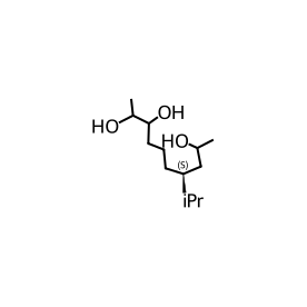 CC(O)C[C@H](CCCC(O)C(C)O)C(C)C